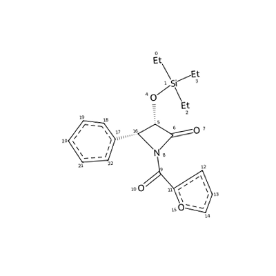 CC[Si](CC)(CC)O[C@@H]1C(=O)N(C(=O)c2ccco2)[C@@H]1c1ccccc1